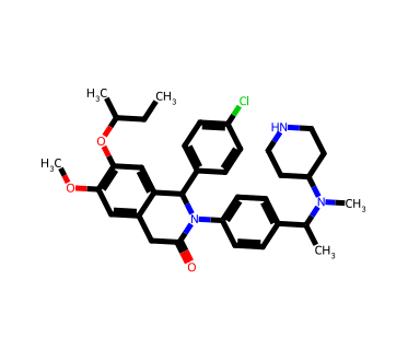 CCC(C)Oc1cc2c(cc1OC)CC(=O)N(c1ccc(C(C)N(C)C3CCNCC3)cc1)C2c1ccc(Cl)cc1